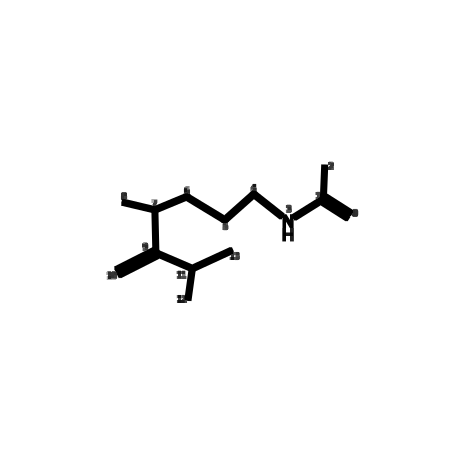 C=C(C)NCCCC(C)C(=C)C(C)C